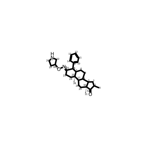 CC1CC2C3CCC4C(c5ccccc5)C(=NOC5CCNC5)CC[C@]4(C)C3CC[C@]2(C)C1=O